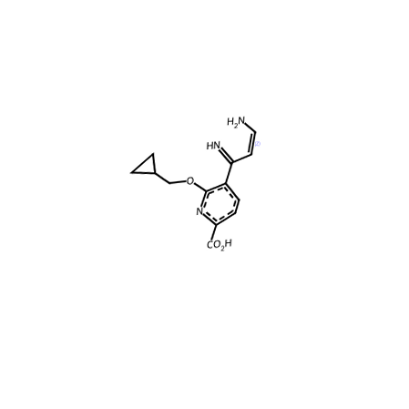 N=C(/C=C\N)c1ccc(C(=O)O)nc1OCC1CC1